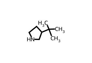 CC(C)(C)C1CCNC1